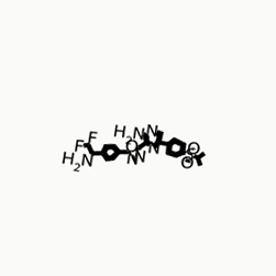 CC(C)S(=O)(=O)c1ccc(-c2cnc(N)c(-c3nnc(-c4ccc(C(N)C(F)F)cc4)o3)n2)cc1